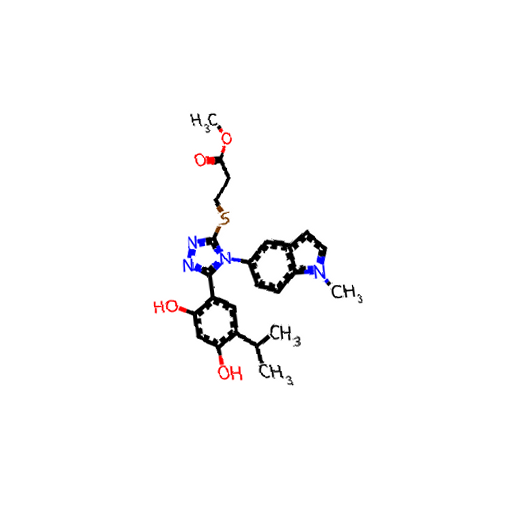 COC(=O)CCSc1nnc(-c2cc(C(C)C)c(O)cc2O)n1-c1ccc2c(ccn2C)c1